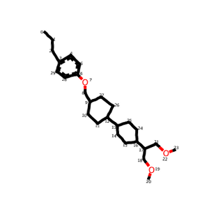 CCCc1ccc(OCC2CCC(C3CCC(C(COC)COC)CC3)CC2)cc1